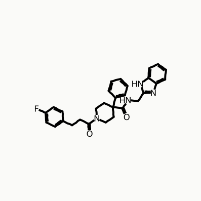 O=C(CCc1ccc(F)cc1)N1CCC(C(=O)NCc2nc3ccccc3[nH]2)(c2ccccc2)CC1